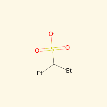 CCC(CC)S([O])(=O)=O